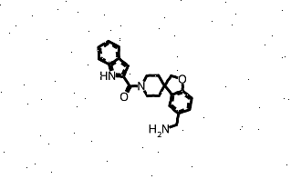 NCc1ccc2c(c1)C1(CCN(C(=O)c3cc4ccccc4[nH]3)CC1)CO2